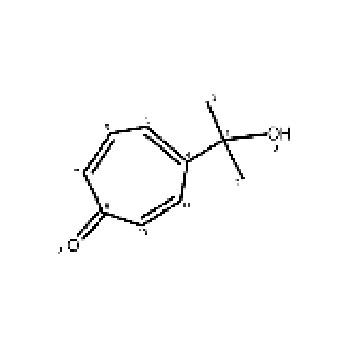 CC(C)(O)c1cccc(=O)cc1